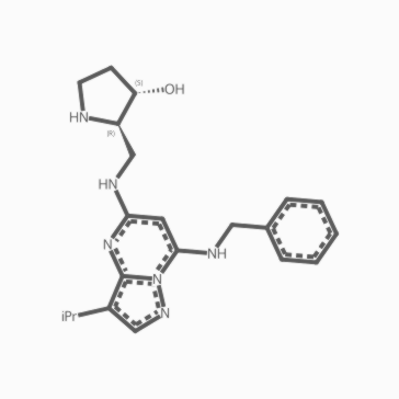 CC(C)c1cnn2c(NCc3ccccc3)cc(NC[C@H]3NCC[C@@H]3O)nc12